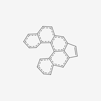 C1=Cc2cc3ccc4ccccc4c3c3c2c1cc1ccccc13